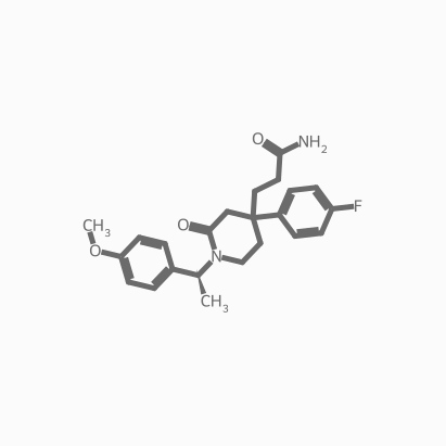 COc1ccc([C@H](C)N2CCC(CCC(N)=O)(c3ccc(F)cc3)CC2=O)cc1